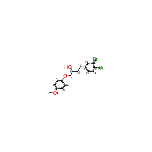 COc1ccc(OCC(O)[CH]Cc2ccc(Br)c(Br)c2)cc1